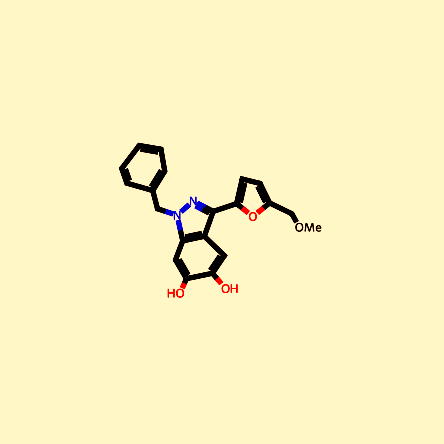 COCc1ccc(-c2nn(Cc3ccccc3)c3cc(O)c(O)cc23)o1